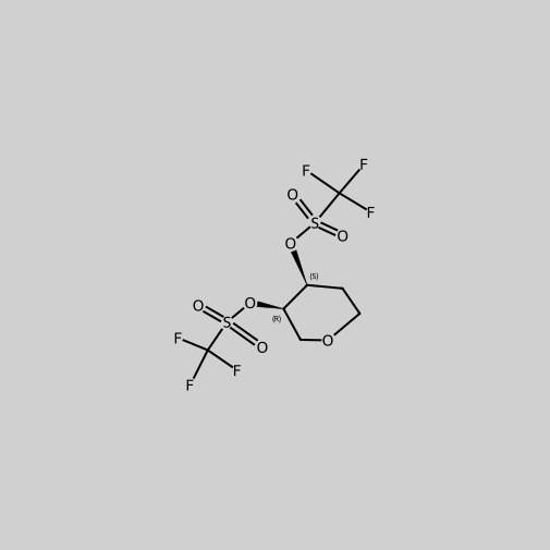 O=S(=O)(O[C@H]1CCOC[C@H]1OS(=O)(=O)C(F)(F)F)C(F)(F)F